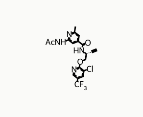 C#C[C@H](COc1ncc(C(F)(F)F)cc1Cl)NC(=O)c1cc(C)nc(NC(C)=O)c1